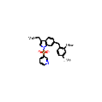 CNCc1cn(S(=O)(=O)c2cccnc2)c2cc(Cc3ccc(OC)cc3OC)ccc12